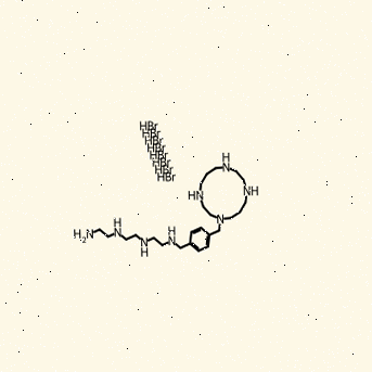 Br.Br.Br.Br.Br.Br.Br.Br.NCCNCCNCCNCc1ccc(CN2CCCNCCNCCCNCC2)cc1